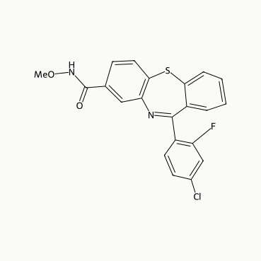 CONC(=O)c1ccc2c(c1)N=C(c1ccc(Cl)cc1F)c1ccccc1S2